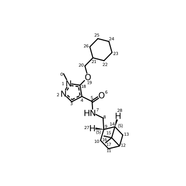 Cn1ncc(C(=O)NC[C@H]2CCC3C[C@@H]2C3(C)C)c1OCC1CCCCC1